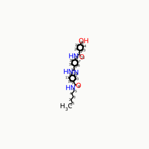 CCCCCCNC(=O)c1ccc2[nH]c(-c3ccc(NC(=O)c4ccc(O)cc4)cc3)nc2c1